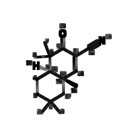 CC1(C)CC[C@H]2C(C)(C)C(=O)C(C#N)=C[C@]2(C)C1